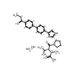 CC(C)[C@@H](C(=O)N1CCC[C@H]1c1nc(-c2ccc(-c3ccc(C(=O)CN)cc3)cc2)c[nH]1)N(C)C(=O)O.Cl.Cl